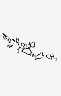 Cc1ccc(N2CC[C@](O)(C(=O)Nc3cnn(C)c3)C2=O)cc1